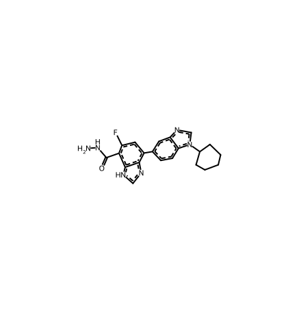 NNC(=O)c1c(F)cc(-c2ccc3c(c2)ncn3C2CCCCC2)c2nc[nH]c12